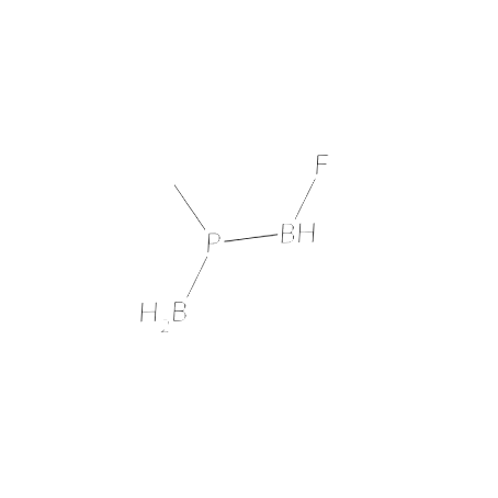 BP(C)BF